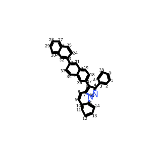 c1ccc(-c2nn3c(ccc4ccccc43)c2-c2ccc3cc(-c4ccc5ccccc5c4)ccc3c2)cc1